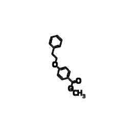 COC(=O)c1ccc(OCCc2ccccc2)cc1